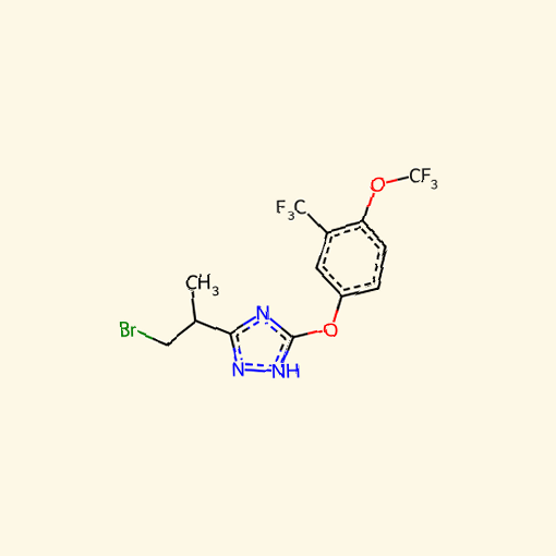 CC(CBr)c1n[nH]c(Oc2ccc(OC(F)(F)F)c(C(F)(F)F)c2)n1